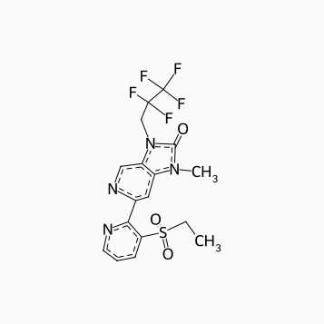 CCS(=O)(=O)c1cccnc1-c1cc2c(cn1)n(CC(F)(F)C(F)(F)F)c(=O)n2C